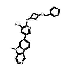 Cn1c2ccncc2c2ccc(-c3cnc(OC4CC(OCc5ccccc5)C4)c(C#N)c3)cc21